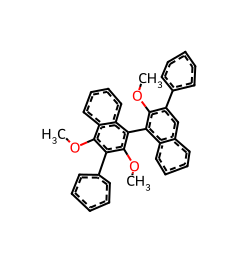 COc1c(-c2ccccc2)cc2ccccc2c1-c1c(OC)c(-c2ccccc2)c(OC)c2ccccc12